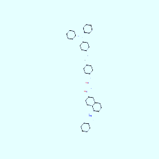 Cc1ccc(N=Nc2c(O)ccc3cc(C(=O)NC(=O)Nc4ccc(CCc5ccc(N(c6ccc(C)cc6)c6ccc(C)cc6)cc5)cc4)ccc23)cc1